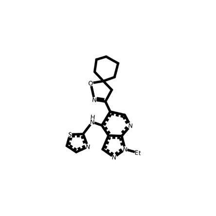 CCn1ncc2c(Nc3nccs3)c(C3=NOC4(CCCCC4)C3)cnc21